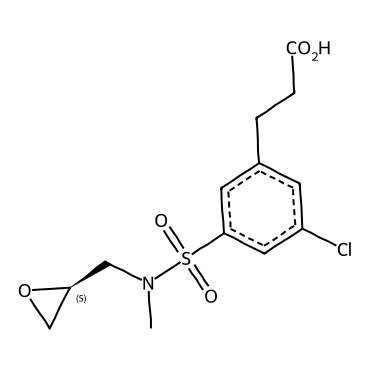 CN(C[C@H]1CO1)S(=O)(=O)c1cc(Cl)cc(CCC(=O)O)c1